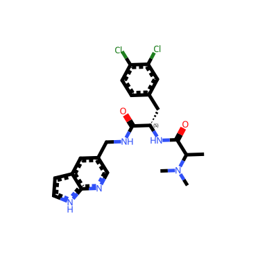 CC(C(=O)N[C@@H](Cc1ccc(Cl)c(Cl)c1)C(=O)NCc1cnc2[nH]ccc2c1)N(C)C